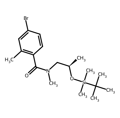 Cc1cc(Br)ccc1C(=O)N(C)C[C@@H](C)O[Si](C)(C)C(C)(C)C